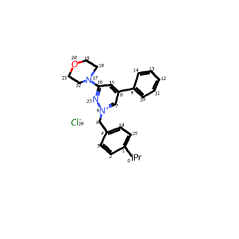 CC(C)c1ccc(C[n+]2cc(-c3ccccc3)cc(N3CCOCC3)n2)cc1.[Cl-]